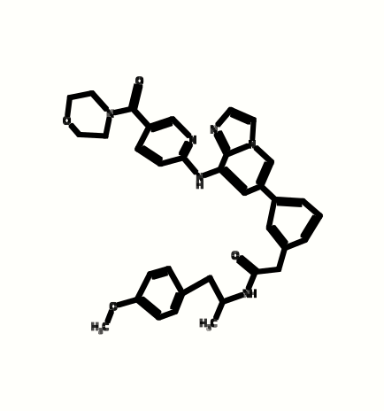 COc1ccc(CC(C)NC(=O)Cc2cccc(-c3cc(Nc4ccc(C(=O)N5CCOCC5)cn4)c4nccn4c3)c2)cc1